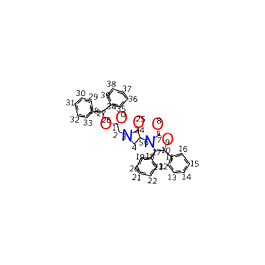 O=C(CN1CC(N2C(=O)OC(c3ccccc3)C2c2ccccc2)C1=O)OC(c1ccccc1)c1ccccc1